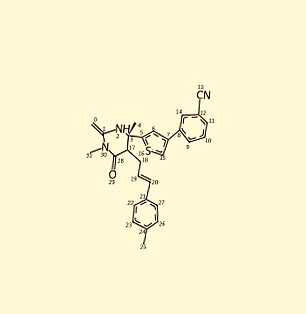 C=C1N[C@](C)(c2cc(-c3cccc(C#N)c3)cs2)C(C/C=C/c2ccc(C)cc2)C(=O)N1C